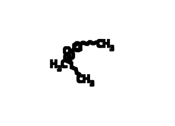 CCCCCC[C](C)OOC(=O)c1ccc(CCCCCC)cc1